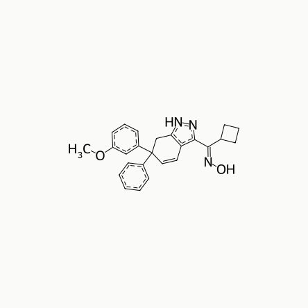 COc1cccc(C2(c3ccccc3)C=Cc3c(C(=NO)C4CCC4)n[nH]c3C2)c1